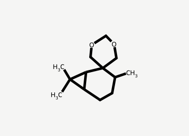 CC1CCC2C(C2(C)C)C12COCOC2